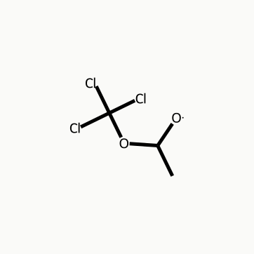 CC([O])OC(Cl)(Cl)Cl